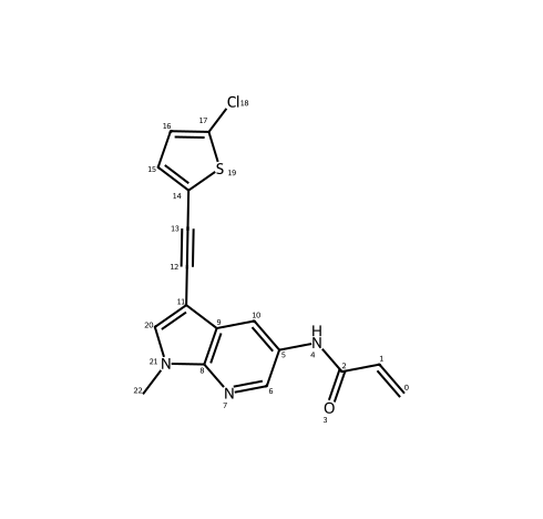 C=CC(=O)Nc1cnc2c(c1)c(C#Cc1ccc(Cl)s1)cn2C